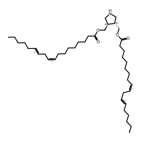 CCCCC/C=C/C/C=C\CCCCCCCC(=O)OC[C@H]1CNC[C@@H]1COC(=O)CCCCCCC/C=C\C/C=C/CCCCC